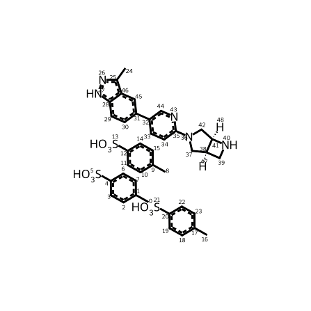 Cc1ccc(S(=O)(=O)O)cc1.Cc1ccc(S(=O)(=O)O)cc1.Cc1ccc(S(=O)(=O)O)cc1.Cc1n[nH]c2ccc(-c3ccc(N4C[C@@H]5CN[C@@H]5C4)nc3)cc12